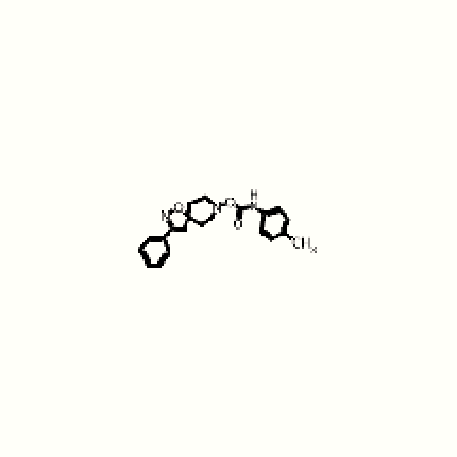 Cc1ccc(NC(=O)ON2CCC3(CC2)CC(c2ccccc2)=NO3)cc1